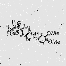 COc1ccc(CNc2ncc(S(=O)(=O)NC3(C#N)CC3)cc2Br)cc1OC